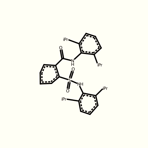 CC(C)c1cccc(C(C)C)c1NC(=O)c1ccccc1S(=O)(=O)Nc1c(C(C)C)cccc1C(C)C